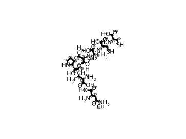 CC(C)[C@H](N)C(=O)O.CC(C)[C@H](N)C(=O)O.C[C@H](N)C(=O)O.NC(=O)C[C@H](N)C(=O)O.N[C@@H](CS)C(=O)O.N[C@@H](CS)C(=O)O.O=C(O)[C@@H]1CCCN1.[Cu]